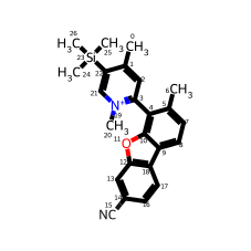 Cc1cc(-c2c(C)ccc3c2oc2cc(C#N)ccc23)[n+](C)cc1[Si](C)(C)C